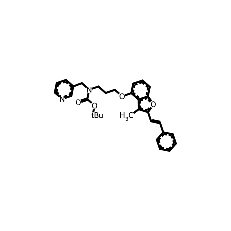 Cc1c(C=Cc2ccccc2)oc2cccc(OCCCN(Cc3cccnc3)C(=O)OC(C)(C)C)c12